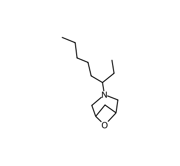 CCCCCC(CC)N1CC2CC(C1)O2